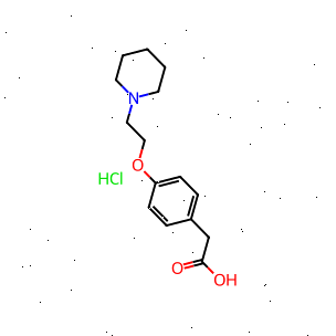 Cl.O=C(O)Cc1ccc(OCCN2CCCCC2)cc1